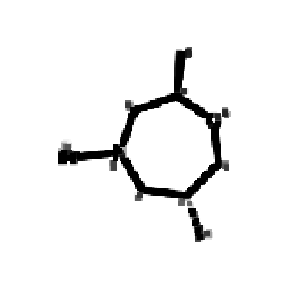 CC(C)N1C[C@@H](C)CO[C@H](C)C1